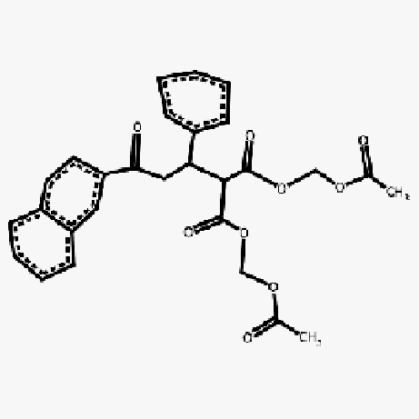 CC(=O)OCOC(=O)C(C(=O)OCOC(C)=O)C(CC(=O)c1ccc2ccccc2c1)c1ccccc1